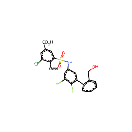 COc1c(Cl)cc(C(=O)O)cc1S(=O)(=O)Nc1cc(F)c(F)c(-c2ccccc2CO)c1